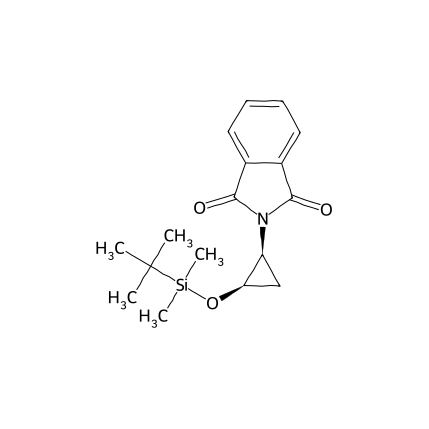 CC(C)(C)[Si](C)(C)O[C@@H]1C[C@@H]1N1C(=O)c2ccccc2C1=O